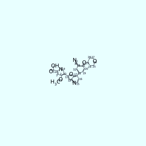 COc1cc(C(=O)O)ncc1-c1cc2nccc(-c3ccc(OC4CCOCC4)c(C#N)c3)c2o1